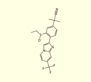 CC[S+]([O-])c1cc(C(C)(C)C#N)ccc1-c1cn2ccc(C(F)(F)F)cc2n1